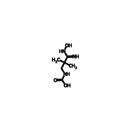 CC(C)(CNC(=O)O)C(=N)NO